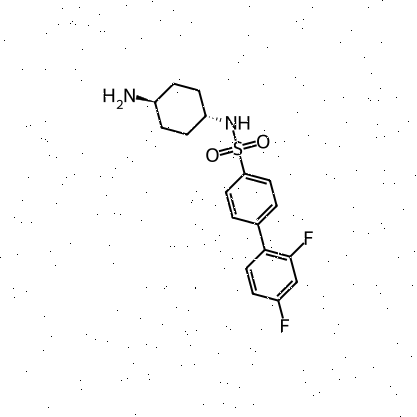 N[C@H]1CC[C@H](NS(=O)(=O)c2ccc(-c3ccc(F)cc3F)cc2)CC1